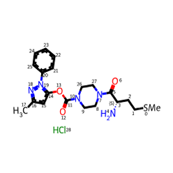 CSCC[C@H](N)C(=O)N1CCN(C(=O)Oc2cc(C)nn2-c2ccccc2)CC1.Cl